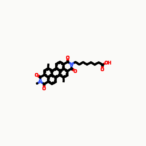 Cc1cc2c3c(ccc4c5c(C)cc6c7c(ccc(c1c34)c75)C(=O)N(CCCCCCCC(=O)O)C6=O)C(=O)N(C)C2=O